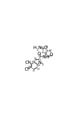 Cn1c(C(=O)NC2(CC(N)=O)CCOC2)cc2c(Cl)c(Cl)ccc21